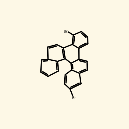 Brc1ccc2c(ccc3c4cccc(Br)c4c4ccc5ccccc5c4c23)c1